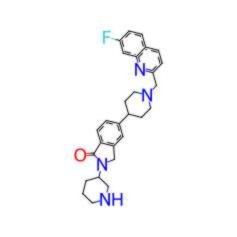 O=C1c2ccc(C3CCN(Cc4ccc5ccc(F)cc5n4)CC3)cc2CN1C1CCCNC1